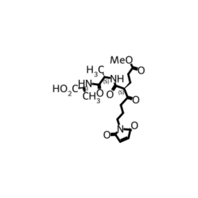 COC(=O)CC[C@@H](C(=O)CCCN1C(=O)C=CC1=O)C(=O)N[C@@H](C)C(=O)N[C@@H](C)C(=O)O